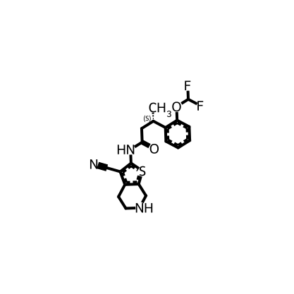 C[C@@H](CC(=O)Nc1sc2c(c1C#N)CCNC2)c1ccccc1OC(F)F